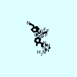 Cc1ccc(S(=O)(=O)N(OC(=O)C(F)(F)F)C23CCC(CC#N)(CC2)C3)cc1-c1cn2c(N)ncnc2n1